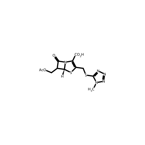 CC(=O)OCC1C(=O)N2C(C(=O)O)=C(CSc3nnnn3C)S[C@H]12